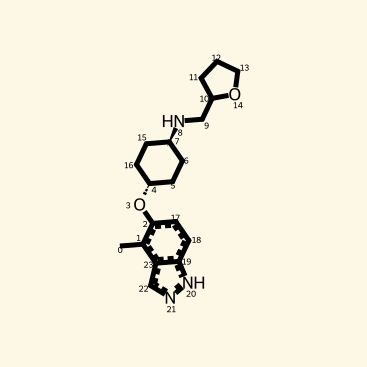 Cc1c(O[C@H]2CC[C@H](NCC3CCCO3)CC2)ccc2[nH]ncc12